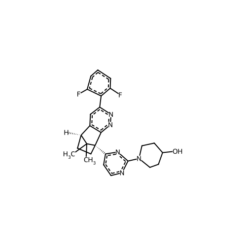 CC1(C)[C@H]2CC[C@]1(c1ccnc(N3CCC(O)CC3)n1)c1nnc(-c3c(F)cccc3F)cc12